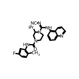 Cc1ccc(F)cc1NC(=O)N1CCN(/C(=N\C#N)Nc2cccc3ncccc23)C(C(C)C)C1